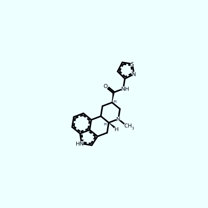 CN1C[C@H](C(=O)Nc2ccsn2)CC2c3cccc4[nH]cc(c34)C[C@H]21